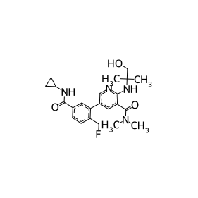 CN(C)C(=O)c1cc(-c2cc(C(=O)NC3CC3)ccc2CF)cnc1NC(C)(C)CO